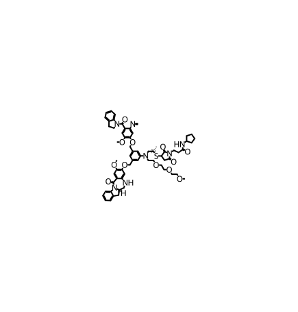 C=Nc1cc(OCc2cc(COc3cc4c(cc3OC)C(=O)N3c5ccccc5C[C@H]3CN4)cc(N(CCOCCOCCOC)C[C@H](C)SC3CC(=O)N(CCC(=O)NC4CCCC4)C3=O)c2)c(OC)cc1C(=O)N1CCc2ccccc21